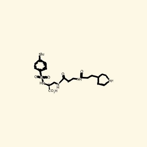 CC(C)(C)c1ccc(S(=O)(=O)N[C@@H](CNC(=O)CCNC(=O)CCC2CCNCC2)C(=O)O)cc1